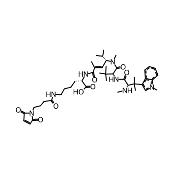 CN[C@H](C(=O)N[C@H](C(=O)N(C)[C@H](/C=C(\C)C(=O)N[C@@H](CCCCNC(=O)CCCN1C(=O)C=CC1=O)C(=O)O)C(C)C)C(C)(C)C)C(C)(C)c1cn(C)c2ccccc12